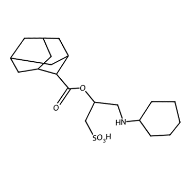 O=C(OC(CNC1CCCCC1)CS(=O)(=O)O)C1C2CC3CC(C2)CC1C3